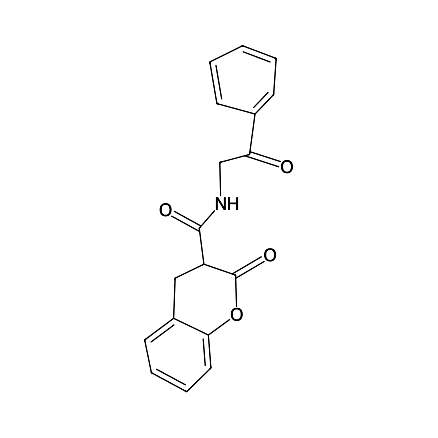 O=C(CNC(=O)C1Cc2ccccc2OC1=O)c1ccccc1